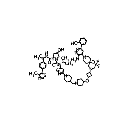 Cc1ncsc1-c1ccc([C@H](C)NC(=O)[C@@H]2C[C@@H](O)CN2C(=O)[C@@H](c2cc(N3CCC(CN4CCC(OC5CC(N6CC(F)(F)OC7(CCN(c8cc(-c9ccccc9O)nnc8N)CC7)C6)C5)CC4)CC3)no2)C(C)C)cc1